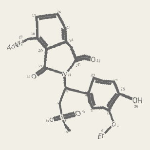 CCOc1cc(C(CS(C)(=O)=O)N2C(=O)c3cccc(NC(C)=O)c3C2=O)ccc1O